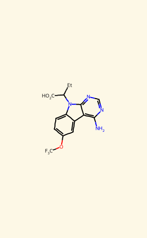 CCC(C(=O)O)n1c2ccc(OC(F)(F)F)cc2c2c(N)ncnc21